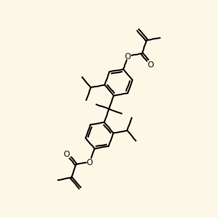 C=C(C)C(=O)Oc1ccc(C(C)(C)c2ccc(OC(=O)C(=C)C)cc2C(C)C)c(C(C)C)c1